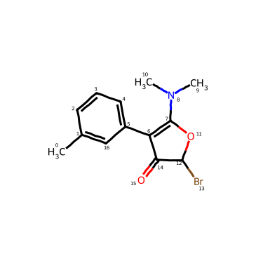 Cc1cccc(C2=C(N(C)C)OC(Br)C2=O)c1